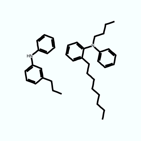 CCCCCCCCc1ccccc1N(CCCC)c1ccccc1.CCCc1cccc(Nc2ccccc2)c1